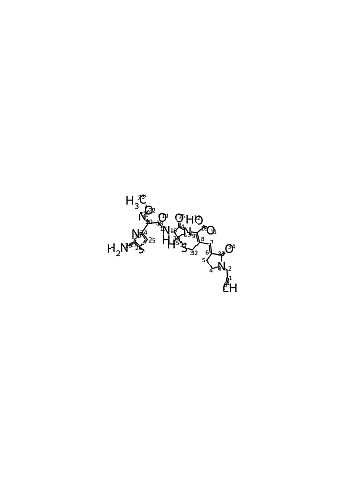 C#CCN1CC/C(=C\C2=C(C(=O)O)N3C(=O)[C@@H](NC(=O)/C(=N\OC)c4csc(N)n4)[C@H]3SC2)C1=O